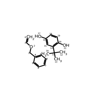 C=COCc1ccccc1.CC(C)(C)c1cc(O)ccc1O